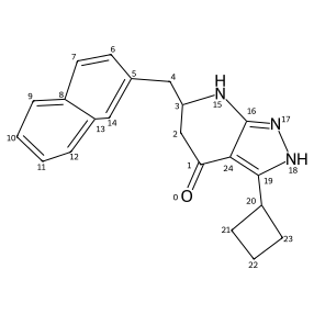 O=C1CC(Cc2ccc3ccccc3c2)Nc2n[nH]c(C3CCC3)c21